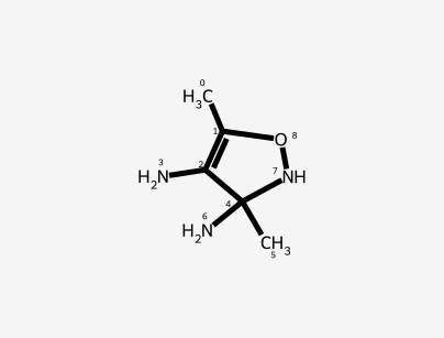 CC1=C(N)C(C)(N)NO1